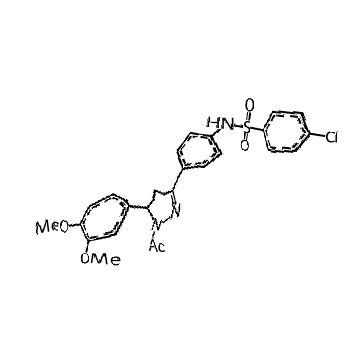 COc1ccc(C2CC(c3ccc(NS(=O)(=O)c4ccc(Cl)cc4)cc3)=NN2C(C)=O)cc1OC